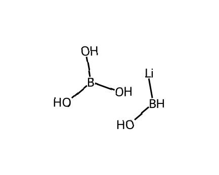 OB(O)O.[Li][BH]O